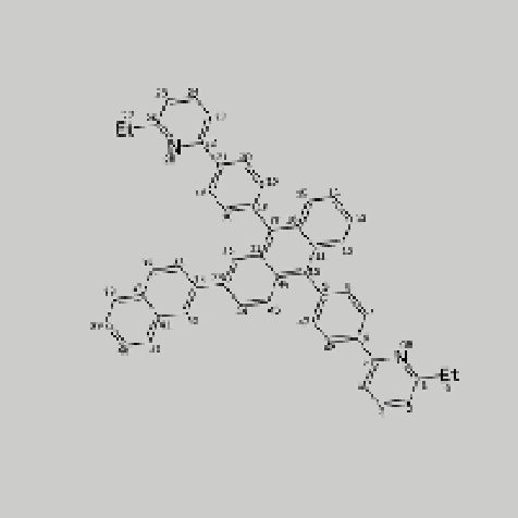 CCc1cccc(-c2ccc(-c3c4ccccc4c(-c4ccc(-c5cccc(CC)n5)cc4)c4cc(-c5ccc6ccccc6c5)ccc34)cc2)n1